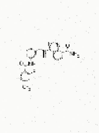 NC(=O)c1cccc2c(NCc3cccc(NC(=O)c4ccc(C(F)(F)F)cc4F)c3)ncnc12